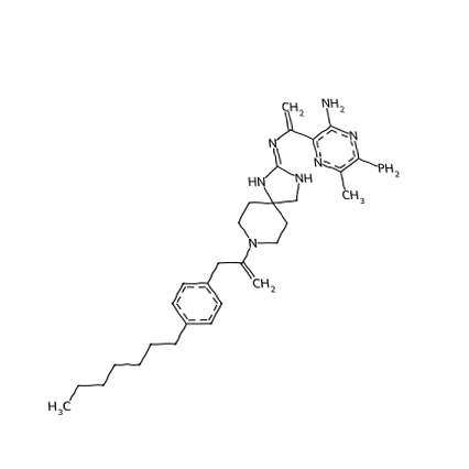 C=C(/N=C1\NCC2(CCN(C(=C)Cc3ccc(CCCCCCC)cc3)CC2)N1)c1nc(C)c(P)nc1N